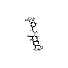 COc1cc2[nH]c(=O)c([C@H](C)Nc3cccc(NC(=O)O)c3)cc2cc1Cl